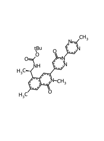 Cc1cc([C@@H](C)NC(=O)OC(C)(C)C)c2cc(-c3cnn(-c4cnc(C)nc4)c(=O)c3)n(C)c(=O)c2c1